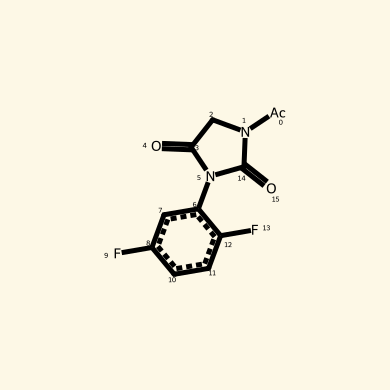 CC(=O)N1CC(=O)N(c2cc(F)ccc2F)C1=O